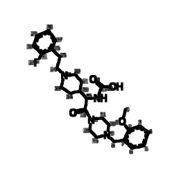 COc1ccccc1CN1CCN(C(=O)C(NC(=O)O)C2CCN(CCc3ccccc3F)CC2)CC1